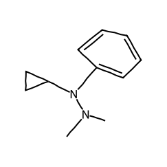 CN(C)N(c1ccccc1)C1CC1